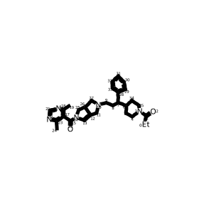 CCC(=O)N1CCC(C(CCN2CC3=CN(C(=O)c4c(C)ncnc4C)CC3C2)c2ccccc2)CC1